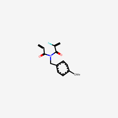 C=CC(=O)N(Cc1ccc(OC)cc1)C(=O)C(=C)F